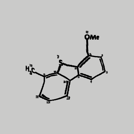 COc1cccc2c1sc1c(C)cccc12